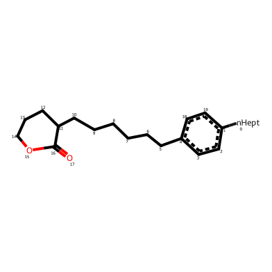 CCCCCCCc1ccc(CCCCCCC2CCCOC2=O)cc1